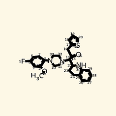 COc1cc(F)ccc1N1CCN(C(C(=O)Cc2cccs2)C2CCc3ccccc3N2)CC1